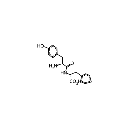 N[C@@H](Cc1ccc(O)cc1)C(=O)N[C@H](Cc1ccccc1)C(=O)O